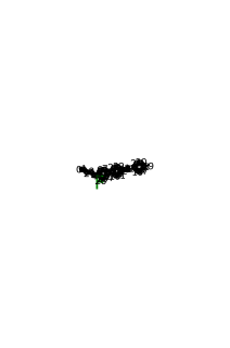 CCCCCc1ccc(-c2ccc(C#C[C@H]3CC[C@H](C)CC3)cc2)cc1F